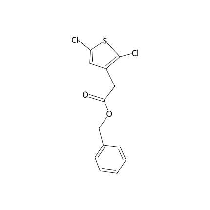 O=C(Cc1cc(Cl)sc1Cl)OCc1ccccc1